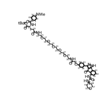 CNc1ccc(C(=O)N[C@@H](CCC(=O)NCCOCCOCCOCCOCCOCCNC(=O)COc2ccc(-c3n[nH]c4c3C(=O)c3c(NC(=O)NN5CCOCC5)cccc3-4)cc2)C(=O)OC(C)(C)C)cc1